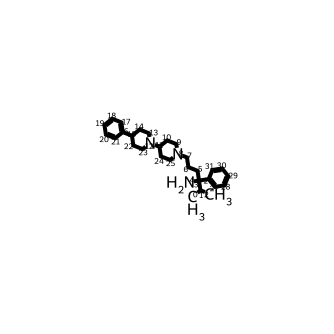 CC(C)C(N)(CCCN1CCC(N2CCC(c3ccccc3)CC2)CC1)c1ccccc1